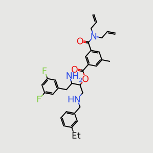 C=CCN(CC=C)C(=O)c1cc(C)cc(C(=O)OC(CNCc2cccc(CC)c2)C(N)Cc2cc(F)cc(F)c2)c1